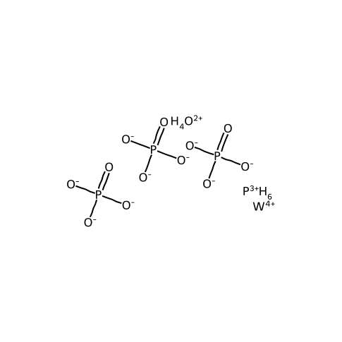 O=P([O-])([O-])[O-].O=P([O-])([O-])[O-].O=P([O-])([O-])[O-].[OH4+2].[PH6+3].[W+4]